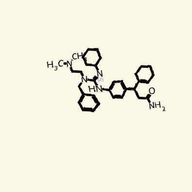 CN(C)CCN(Cc1ccccc1)/C(=N\C1CCCCC1)Nc1ccc(C(CC(N)=O)C2=CCCCC2)cc1